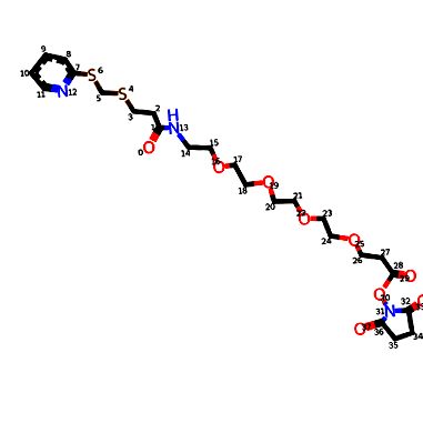 O=C(CCSCSc1ccccn1)NCCOCCOCCOCCOCCC(=O)ON1C(=O)CCC1=O